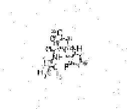 CC1(C)CCC1NC(=O)c1nc(Nc2cc(F)cc(F)c2)cc2c1OCO2